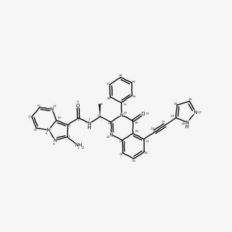 C[C@H](NC(=O)c1c(N)nn2cccnc12)c1nc2cccc(C#Cc3ccn[nH]3)c2c(=O)n1-c1ccccc1